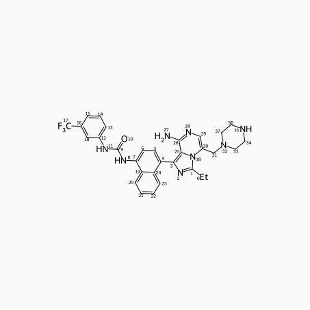 CCc1nc(-c2ccc(NC(=O)Nc3cccc(C(F)(F)F)c3)c3ccccc23)c2c(N)ncc(CN3CCNCC3)n12